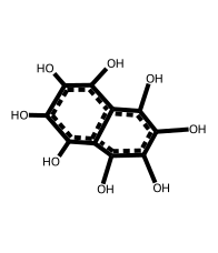 Oc1c(O)c(O)c2c(O)c(O)c(O)c(O)c2c1O